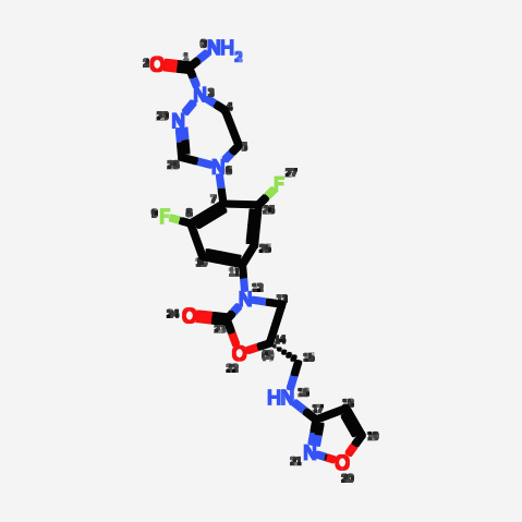 NC(=O)N1CCN(c2c(F)cc(N3C[C@H](CNc4ccon4)OC3=O)cc2F)C=N1